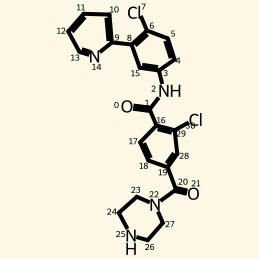 O=C(Nc1ccc(Cl)c(-c2ccccn2)c1)c1ccc(C(=O)N2CCNCC2)cc1Cl